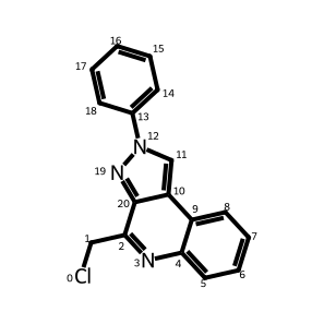 ClCc1nc2ccccc2c2cn(-c3ccccc3)nc12